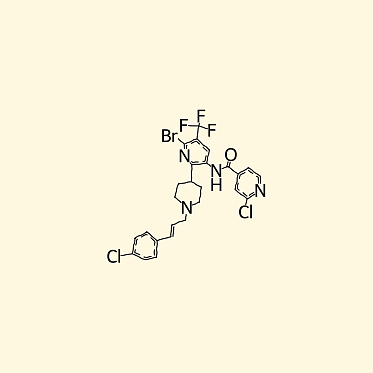 O=C(Nc1cc(C(F)(F)F)c(Br)nc1C1CCN(CC=Cc2ccc(Cl)cc2)CC1)c1ccnc(Cl)c1